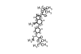 CC(C)(C)OC(=O)C(CN)c1ccc(-c2ccc3c(cnn3C(=O)OC(C)(C)C)c2N)cc1